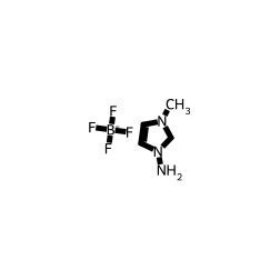 CN1C=CN(N)C1.F[B-](F)(F)F